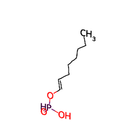 CCCCCCC=CO[PH](=O)O